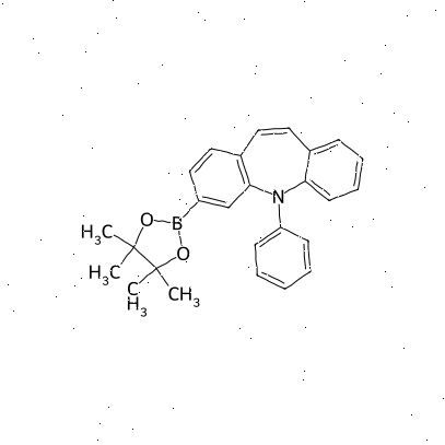 CC1(C)OB(c2ccc3c(c2)N(c2ccccc2)c2ccccc2C=C3)OC1(C)C